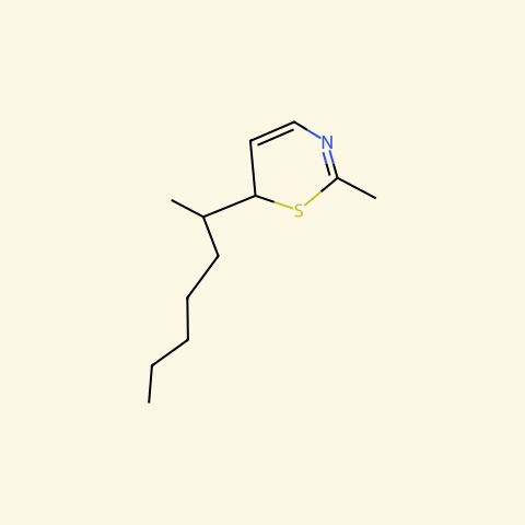 CCCCCC(C)C1C=CN=C(C)S1